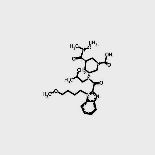 COCCCCn1c(C(=O)N(CC(C)C)[C@H]2C[C@@H](C(=O)N(C)OC)CN(C(=O)O)C2)nc2ccccc21